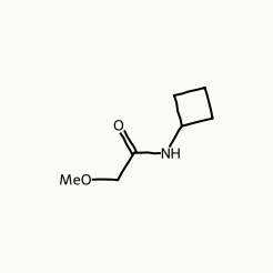 [CH2]OCC(=O)NC1CCC1